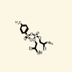 CCCCC(CC)COP(=O)(OCC(CC)CCCC)OS(=O)(=O)c1ccc(C)cc1